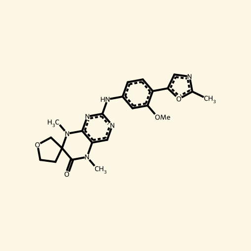 COc1cc(Nc2ncc3c(n2)N(C)C2(CCOC2)C(=O)N3C)ccc1-c1cnc(C)o1